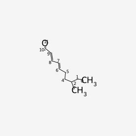 CCC(C)CC/C=C/C=C/[C]=O